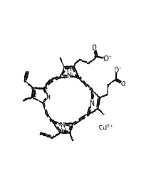 C=CC1=C(C)c2cc3[nH]c(cc4nc(cc5[nH]c(cc1n2)c(C)c5CCC(=O)[O-])C(CCC(=O)[O-])=C4C)c(C)c3C=C.[Cd+2]